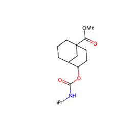 COC(=O)C12CCCC(C1)C(OC(=O)NC(C)C)CC2